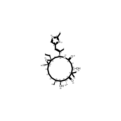 CC[C@@]12C[C@@H](C(C)=Cc3coc(C)n3)OC(=O)C[C@H](O)C(C)(C)C(=O)[C@H](C)[C@@H](O)[C@@H](C)CCC[C@@H]1O2